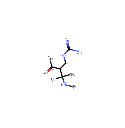 CC(C)NC(C)(C)C(CNC(=N)N)C(=O)C(C)C